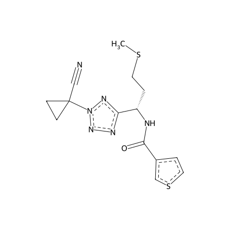 CSCC[C@H](NC(=O)c1ccsc1)c1nnn(C2(C#N)CC2)n1